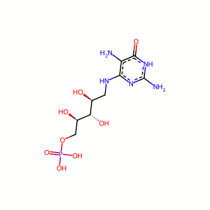 Nc1nc(NC[C@H](O)[C@H](O)[C@H](O)COP(=O)(O)O)c(N)c(=O)[nH]1